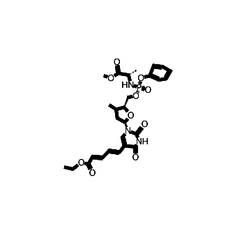 CCOC(=O)/C=C/C=C/c1cn([C@H]2CC(C)[C@@H](COP(=O)(N[C@@H](C)C(=O)OC)Oc3ccccc3)O2)c(=O)[nH]c1=O